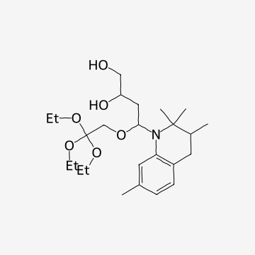 CCOC(COC(CC(O)CO)N1c2cc(C)ccc2CC(C)C1(C)C)(OCC)OCC